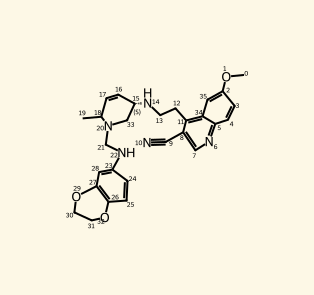 COc1ccc2ncc(C#N)c(CCN[C@H]3C=CC(C)N(CNc4ccc5c(c4)OCCO5)C3)c2c1